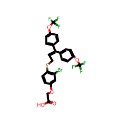 O=C(O)COc1ccc(SCC=C(c2ccc(OC(F)(F)F)cc2)c2ccc(OC(F)(F)F)cc2)c(Br)c1